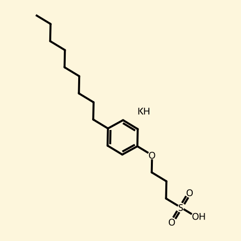 CCCCCCCCCc1ccc(OCCCS(=O)(=O)O)cc1.[KH]